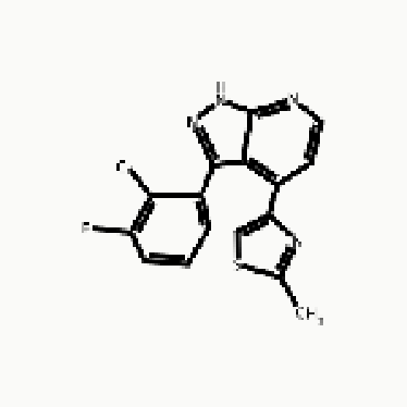 Cc1nc(-c2ccnc3[nH]nc(-c4cccc(F)c4Cl)c23)cs1